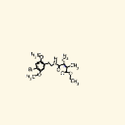 CCOC(=O)/C(C)=C(/C)C(=O)NCCc1cc(OC)c(Br)cc1OC